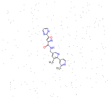 Cc1cc(-c2ncc(CNC(=O)c3cc(-c4ncccn4)on3)cc2C)ccn1